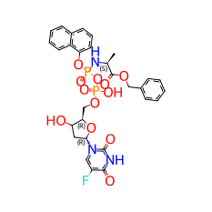 C[C@H](NP(=O)(Oc1cccc2ccccc12)OP(=O)(O)OC[C@H]1O[C@@H](n2cc(F)c(=O)[nH]c2=O)CC1O)C(=O)OCc1ccccc1